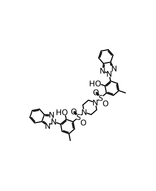 Cc1cc(-n2nc3ccccc3n2)c(O)c(S(=O)(=O)N2CCN(S(=O)(=O)c3cc(C)cc(-n4nc5ccccc5n4)c3O)CC2)c1